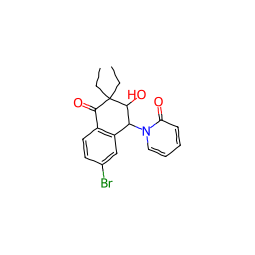 CCC1(CC)C(=O)c2ccc(Br)cc2C(n2ccccc2=O)C1O